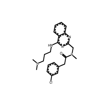 CN(C)CCCNc1nc(CN(C)C(=O)Cc2cccc(Cl)c2)nc2ccccc12